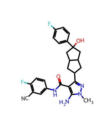 Cn1nc(C2CC3CC(O)(c4ccc(F)cc4)CC3C2)c(C(=O)Nc2ccc(F)c(C#N)c2)c1N